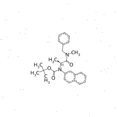 C[C@@H](C(=O)N(C)Cc1ccccc1)N(C(=O)OC(C)(C)C)c1ccc2ccccc2c1